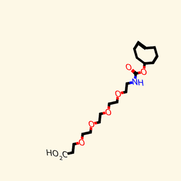 O=C(O)CCOCCOCCOCCOCCNC(=O)OC1CC/C=C/CCC1